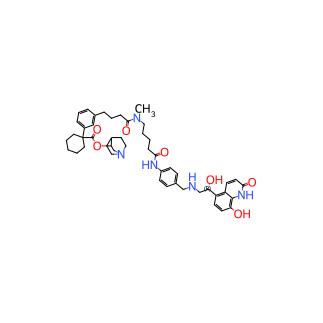 CN(CCCCC(=O)Nc1ccc(CNC[C@H](O)c2ccc(O)c3[nH]c(=O)ccc23)cc1)C(=O)CCCc1cccc(C2(C(=O)OC3CN4CCC3CC4)CCCCC2)c1